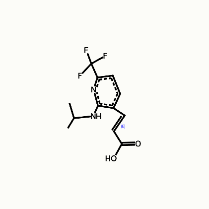 CC(C)Nc1nc(C(F)(F)F)ccc1/C=C/C(=O)O